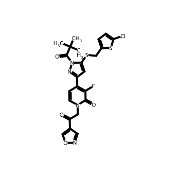 CC(C)(C)C(=O)n1nc(-c2ccn(CC(=O)c3cnoc3)c(=O)c2F)cc1SCc1ccc(Cl)s1